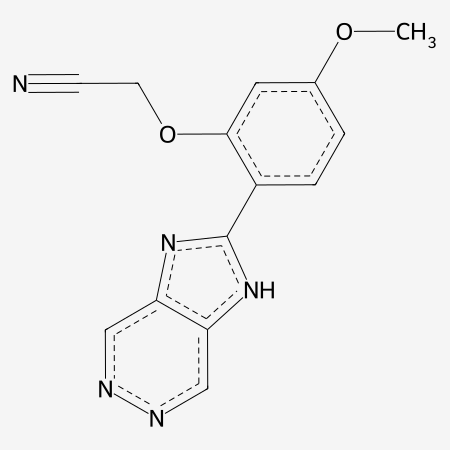 COc1ccc(-c2nc3cnncc3[nH]2)c(OCC#N)c1